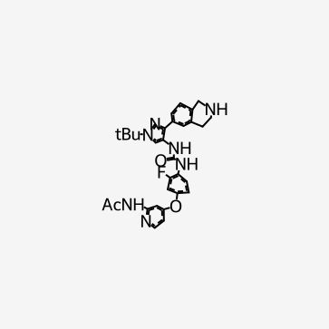 CC(=O)Nc1cc(Oc2ccc(NC(=O)Nc3cn(C(C)(C)C)nc3-c3ccc4c(c3)CCNC4)c(F)c2)ccn1